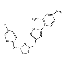 Nc1ccc(-c2cc(CC3=CCC(Oc4ccc(F)cc4)S3)no2)c(N)n1